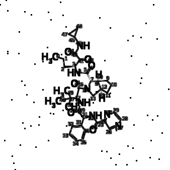 CCC[C@H](NC(=O)[C@@H]1[C@H]2CCC[C@H]2CN1C(=O)[C@@H](NC(=O)[C@@H](NC(=O)c1cnccn1)c1ccccc1)C(C)(C)C)C(=O)C(=O)NC1CC1